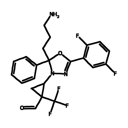 NCCCC1(c2ccccc2)OC(c2cc(F)ccc2F)=NN1C1CC1(C=O)C(F)(F)F